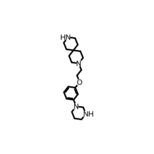 c1cc(OCCN2CCC3(CCNCC3)CC2)cc(N2CCCNC2)c1